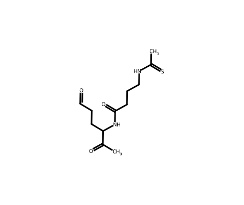 CC(=O)C(CCC=O)NC(=O)CCCNC(C)=S